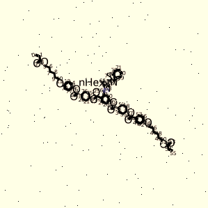 C=CC(=O)OCCCCCCOc1ccc(OC(=O)[C@H]2CC[C@H](OC(=O)c3ccc(OC(=O)[C@H]4CC[C@@H](OC(=O)c5ccc(OCCCCCCOC(=O)C=C)cc5)CC4)cc3/C=N/N(CCCCCC)c3nc4ccccc4s3)CC2)cc1